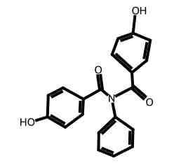 O=C(c1ccc(O)cc1)N(C(=O)c1ccc(O)cc1)c1ccccc1